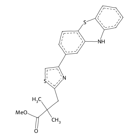 COC(=O)C(C)(C)Cc1nc(-c2ccc3c(c2)Nc2ccccc2S3)cs1